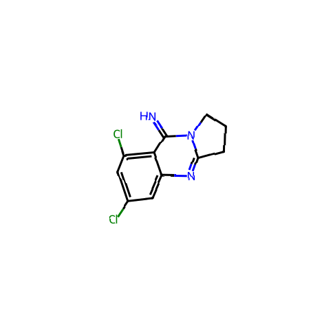 N=c1c2c(Cl)cc(Cl)cc2nc2n1CCC2